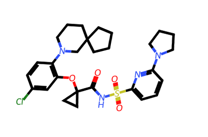 O=C(NS(=O)(=O)c1cccc(N2CCCC2)n1)C1(Oc2cc(Cl)ccc2N2CCCC3(CCCC3)C2)CC1